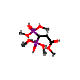 CCOP(=O)(OCC)C(CC(=O)OC(C)C)P(=O)(OCC)OCC